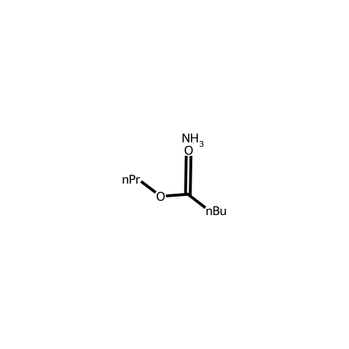 CCCCC(=O)OCCC.N